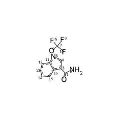 NC(=O)c1cn(OC(F)(F)F)c2ccccc12